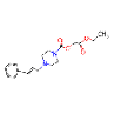 CCOC(=O)COC(=O)N1CCN(CC=Cc2ccccc2)CC1